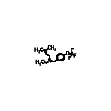 CCN(CCN(C)C)Cc1ccc(OC(F)(F)F)cc1